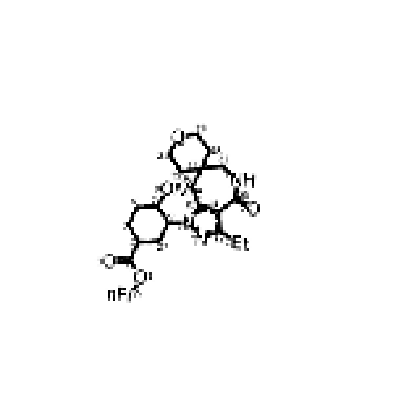 CCCOC(=O)C1CCC(OC)C(n2nc(CC)c3c2CC2(CCOCC2)CNC3=O)C1